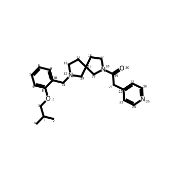 CC(C)COc1ccccc1CN1CCC2(CCN(C(=O)Cc3ccncc3)C2)C1